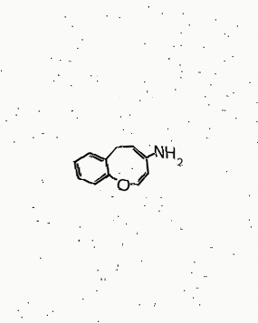 NC1=C/Cc2ccccc2O/C=C\1